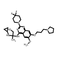 COc1cc2c(NC(C)(CO)NC3CC3)nc(N3CCC(F)(F)CC3)nc2cc1OCCCN1CCCC1